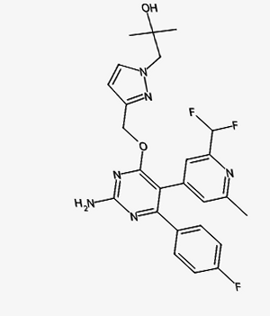 Cc1cc(-c2c(OCc3ccn(CC(C)(C)O)n3)nc(N)nc2-c2ccc(F)cc2)cc(C(F)F)n1